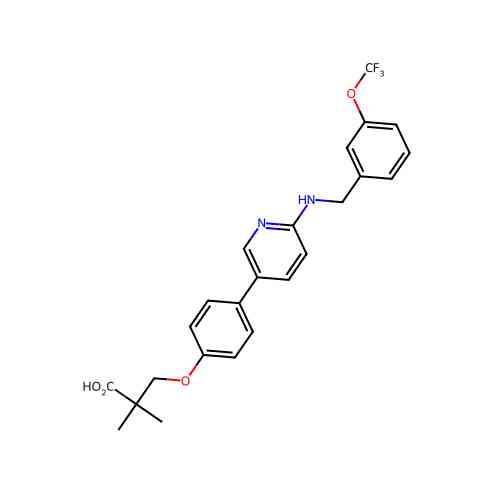 CC(C)(COc1ccc(-c2ccc(NCc3cccc(OC(F)(F)F)c3)nc2)cc1)C(=O)O